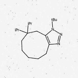 CC(C)C1(C(C)C)CCCCCc2nnn(C(C)(C)C)c2C1